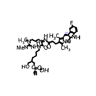 CNC(=N)N(C)CCC[C@@H](NC(=O)CCc1c(C)[nH]c(/C=C2\C(=O)Nc3ccc(F)cc32)c1C)C(=O)NCCCCC(CO)CO[PH](=O)OO